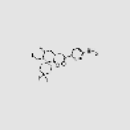 Bc1ccc(C(=O)CC2CC(=C)[C@H](CI)C3(CCC(I)(I)CC3)C2=O)cc1